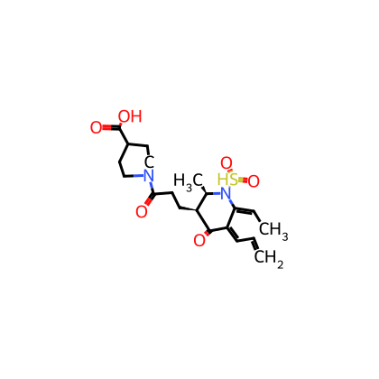 C=C/C=C1/C(=O)[C@@H](CCC(=O)N2CCC(C(=O)O)CC2)[C@@H](C)N([SH](=O)=O)/C1=C/C